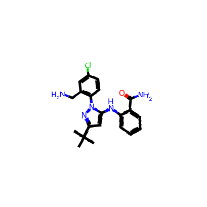 CC(C)(C)c1cc(Nc2ccccc2C(N)=O)n(-c2ccc(Cl)cc2CN)n1